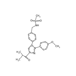 COc1ccc(-n2nc(C(=O)C(C)C)cc2-c2ccc(CNS(C)(=O)=O)cc2)cc1